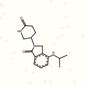 CC(C)Nc1cccc2c1CN(C1CCC(=O)NC1)C2=O